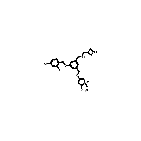 C[N+]1(C)CC(OCc2cc(CNCC3CNC3)cc(OCc3ccc(Cl)cc3Br)c2)CC1C(=O)O